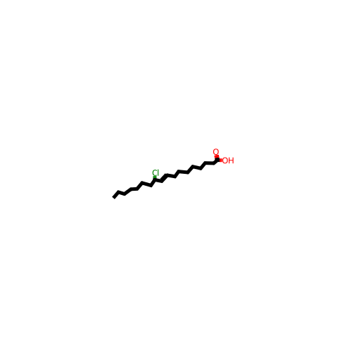 CCCCCCCC(Cl)C=CCCCCCCCC(=O)O